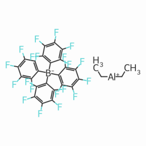 C[CH2][Al+][CH2]C.Fc1c(F)c(F)c([B-](c2c(F)c(F)c(F)c(F)c2F)(c2c(F)c(F)c(F)c(F)c2F)c2c(F)c(F)c(F)c(F)c2F)c(F)c1F